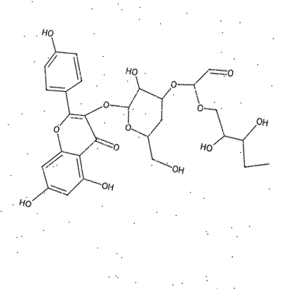 CCC(O)C(O)COC(C=O)OC1CC(CO)OC(Oc2c(-c3ccc(O)cc3)oc3cc(O)cc(O)c3c2=O)C1O